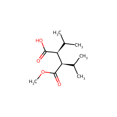 COC(=O)[C@H](C(C)C)[C@@H](C(=O)O)C(C)C